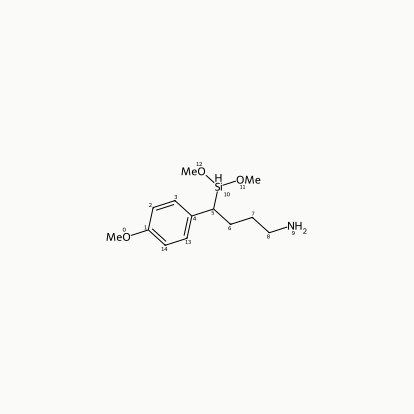 COc1ccc(C(CCCN)[SiH](OC)OC)cc1